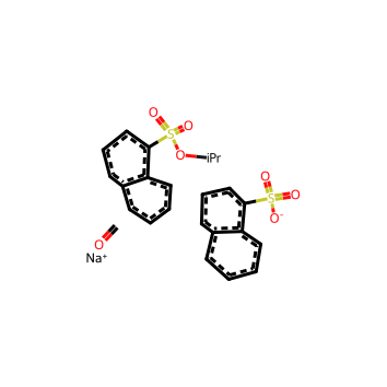 C=O.CC(C)OS(=O)(=O)c1cccc2ccccc12.O=S(=O)([O-])c1cccc2ccccc12.[Na+]